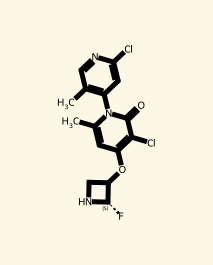 Cc1cnc(Cl)cc1-n1c(C)cc(OC2CN[C@H]2F)c(Cl)c1=O